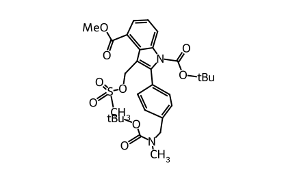 COC(=O)c1cccc2c1c(COS(C)(=O)=O)c(-c1ccc(CN(C)C(=O)OC(C)(C)C)cc1)n2C(=O)OC(C)(C)C